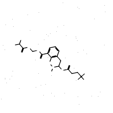 CC(C)C(=O)OCOC(=O)c1cccc2c1OB(O)C(NC(=O)CCC(C)(F)F)C2